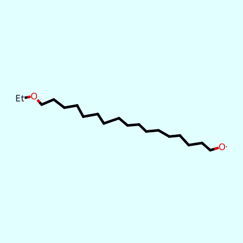 CCOCCCCCCCCCCCCCCCCC[O]